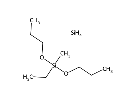 CCCO[Si](C)(CC)OCCC.[SiH4]